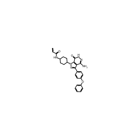 C=CC(=O)NC1CCC(n2nc(-c3ccc(Oc4ccccc4)cc3)c3c(N)n[nH]c(=O)c32)CC1